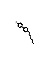 CCCCCCCc1ccc(-c2ccc(F)cc2)cc1